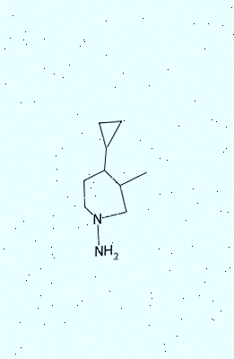 CC1CN(N)CCC1C1CC1